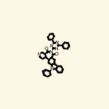 O=c1c2cnccc2c2cc3c(cc2c(=O)n1-c1nc(-c2ccccc2)nc(-c2ccccc2)n1)c1ccccc1n3-c1ccccc1